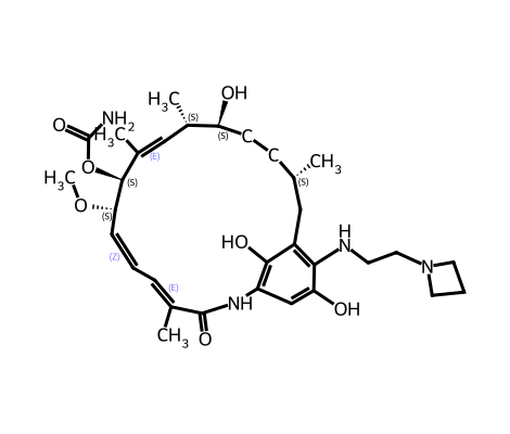 CO[C@H]1/C=C\C=C(/C)C(=O)Nc2cc(O)c(NCCN3CCC3)c(c2O)C[C@@H](C)CC[C@H](O)[C@@H](C)/C=C(\C)[C@@H]1OC(N)=O